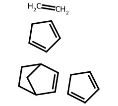 C1=CC2CCC1C2.C1=CCC=C1.C1=CCC=C1.C=C